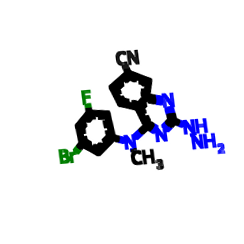 CN(c1cc(F)cc(Br)c1)c1nc(NN)nc2cc(C#N)ccc12